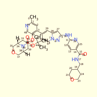 Cc1cc(-c2ccn3nc(Nc4ccc(C(=O)NCC5CCOCC5)cn4)cc3c2)c(OC2C[C@H]3COC[C@@H](C2)N3C(=O)OC(C)(C)C)cn1